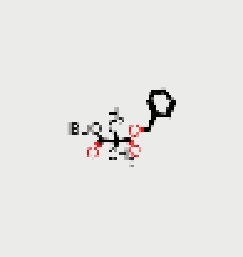 CC(C)COC(=O)C(C)(C)C(=O)OCc1ccccc1